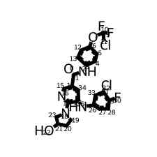 O=C(Nc1ccc(OC(F)(F)Cl)cc1)c1cnc(N2CCC(O)C2)c(Nc2ccc(F)c(Cl)c2)c1